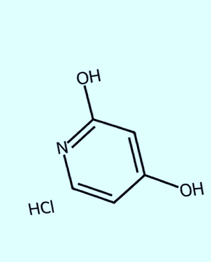 Cl.Oc1ccnc(O)c1